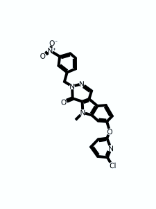 Cn1c2cc(Oc3cccc(Cl)n3)ccc2c2cnn(Cc3cccc([N+](=O)[O-])c3)c(=O)c21